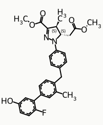 COC(=O)C[C@H]1[C@H](C)C(C(=O)OC)=NN1c1ccc(Cc2ccc(-c3cc(O)ccc3F)cc2C)cc1